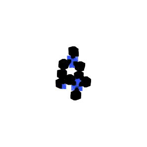 c1ccc(-c2nc(-c3ccccc3)nc(-c3cccc(-c4ccc(-c5cccnc5)c(-c5ccc(-c6nc(-c7ccccc7)nc(-c7ccccc7-c7ccccn7)n6)cc5)c4)c3)n2)cc1